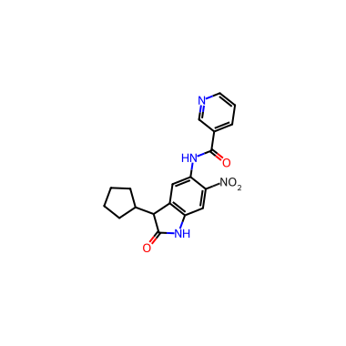 O=C(Nc1cc2c(cc1[N+](=O)[O-])NC(=O)C2C1CCCC1)c1cccnc1